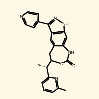 Cc1cccc([C@H](C)C2Cc3cc4c(-c5ccncc5)n[nH]c4cc3NC(=O)O2)n1